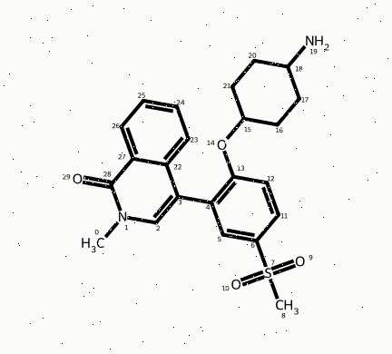 Cn1cc(-c2cc(S(C)(=O)=O)ccc2OC2CCC(N)CC2)c2ccccc2c1=O